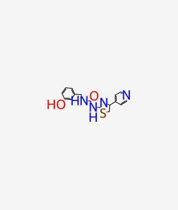 O=C(NCc1cccc(O)c1)NC1=NC(c2ccncc2)CS1